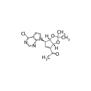 CC(=O)C1=C[C@@H](n2ccc3c(Cl)ncnc32)[C@@H]2OC(C)(C)O[C@H]12